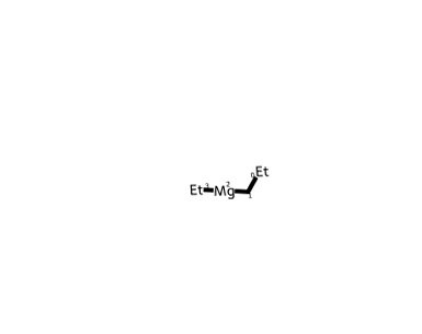 CC[CH2][Mg][CH2]C